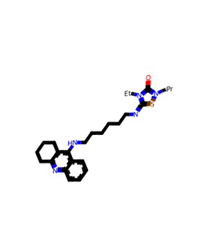 CCn1c(=NCCCCCCNc2c3c(nc4ccccc24)CCCC3)sn(C(C)C)c1=O